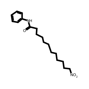 O=C(CCCCCCCCCCC[N+](=O)[O-])Nc1ccccc1